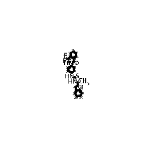 CC(NC(=S)Nc1ccc(NC(=O)c2ccccc2C(F)(F)F)cc1)c1cc2ccccc2o1